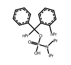 CCCc1ccccc1C(CCC)(OP(=O)(O)N(C(C)C)C(C)C)c1ccccc1